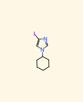 Ic1cn(C2CCCCC2)cn1